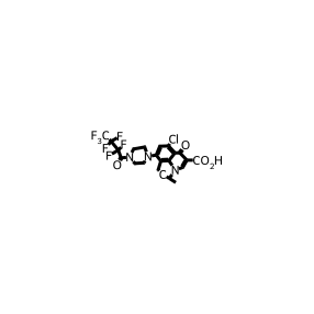 CC1CCc2c(N3CCN(C(=O)C(F)(F)C(F)(F)C(F)(F)F)CC3)cc(Cl)c3c(=O)c(C(=O)O)cn1c23